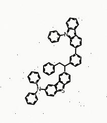 c1ccc(CC(c2cccc(-c3ccc4c5ccccc5n(-c5ccccc5)c4c3)c2)c2ccc3sc4ccc(N(c5ccccc5)c5ccccc5)cc4c3c2)cc1